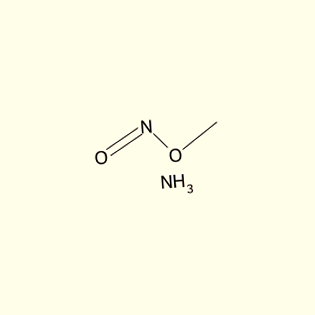 CON=O.N